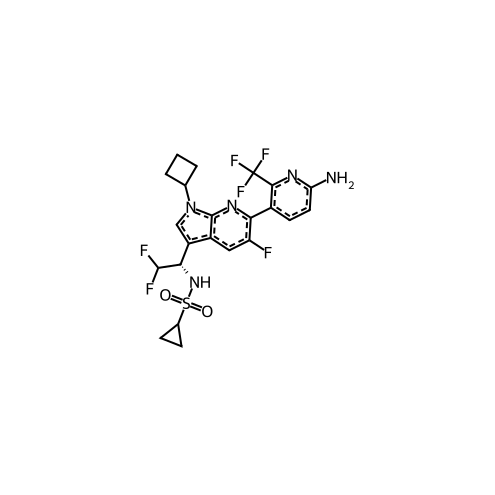 Nc1ccc(-c2nc3c(cc2F)c([C@H](NS(=O)(=O)C2CC2)C(F)F)cn3C2CCC2)c(C(F)(F)F)n1